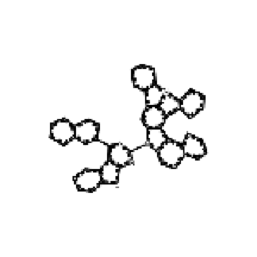 c1ccc2cc(-c3nc(-n4c5ccc6ccccc6c5c5c6c7ccccc7n7c8ccccc8c(cc54)c67)nc4sc5ccccc5c34)ccc2c1